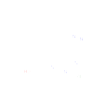 Cn1cc(-c2cc(N3CCC(O)CC3)nc(Cl)n2)cn1